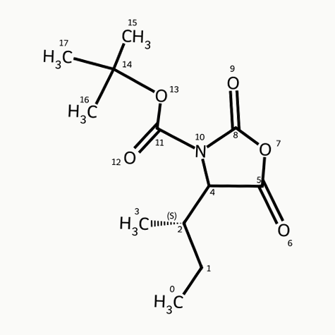 CC[C@H](C)C1C(=O)OC(=O)N1C(=O)OC(C)(C)C